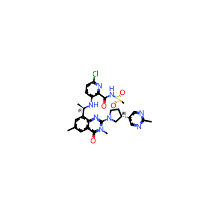 Cc1cc([C@@H](C)Nc2ccc(Cl)nc2C(=O)NS(C)(=O)=O)c2nc(N3CC[C@H](c4cnc(C)nc4)C3)n(C)c(=O)c2c1